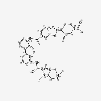 C=C(Nc1cccc(-c2cccc(NC(=O)c3nc4c(n3C)CCN(C)C4)c2C)c1C)c1cc2c(cn1)CN(C1CCN(C(C)=O)CC1F)C2